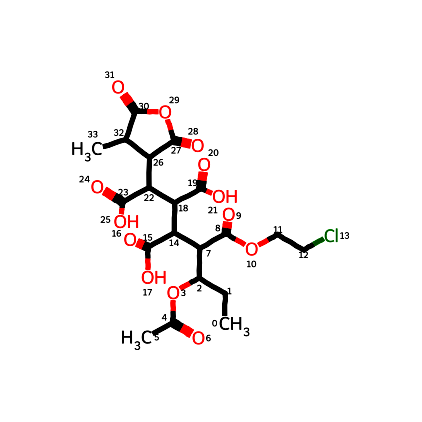 CCC(OC(C)=O)C(C(=O)OCCCl)C(C(=O)O)C(C(=O)O)C(C(=O)O)C1C(=O)OC(=O)C1C